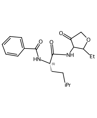 CCC1OCC(=O)C1NC(=O)[C@H](CCC(C)C)NC(=O)c1ccccc1